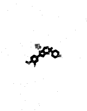 COc1ccc(C2=CC3=NC(C)(C4CCNCC4)N=CC3=N2)cc1F.Cl.O